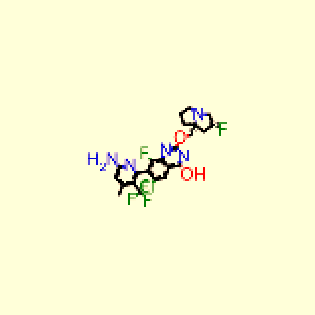 Cc1cc(N)nc(-c2c(Cl)cc3c(O)nc(OC[C@@]45CCCN4C[C@H](F)C5)nc3c2F)c1C(F)(F)F